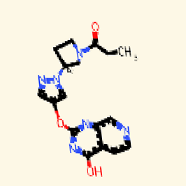 CCC(=O)N1CC[C@H](n2cc(Oc3nc(O)c4ccncc4n3)cn2)C1